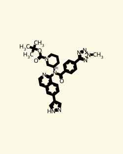 Cn1nnc(-c2ccc(C(=O)N(c3nccc4cc(-c5cn[nH]c5)ccc34)[C@@H]3CCCN(C(=O)OC(C)(C)C)C3)cc2)n1